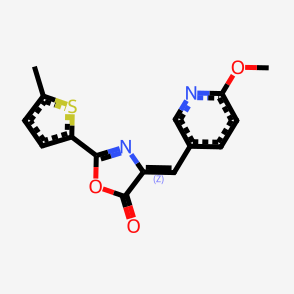 COc1ccc(/C=C2\N=C(c3ccc(C)s3)OC2=O)cn1